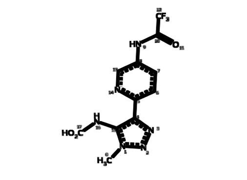 Cn1nnc(-c2ccc(NC(=O)C(F)(F)F)cn2)c1NC(=O)O